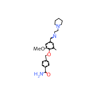 COc1cc(/C=N/CCN2CCCCC2)cc(C)c1OCc1ccc(C(N)=O)cc1